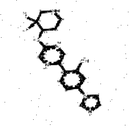 Oc1cc(-n2ccnc2)ccc1-c1cnc(SC2CCNCC2(F)F)cn1